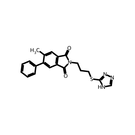 Cc1cc2c(cc1-c1ccccc1)C(=O)N(CCCSc1nnc[nH]1)C2=O